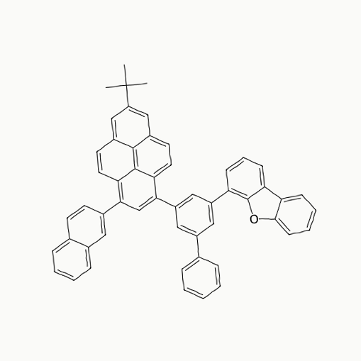 CC(C)(C)c1cc2ccc3c(-c4cc(-c5ccccc5)cc(-c5cccc6c5oc5ccccc56)c4)cc(-c4ccc5ccccc5c4)c4ccc(c1)c2c34